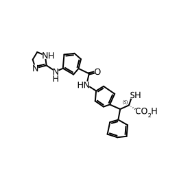 O=C(Nc1ccc(C(c2ccccc2)[C@H](S)C(=O)O)cc1)c1cccc(NC2=NCCN2)c1